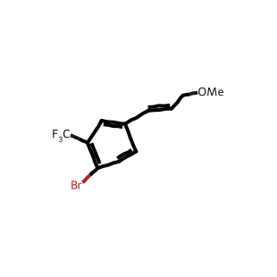 [CH2]OC/C=C/c1ccc(Br)c(C(F)(F)F)c1